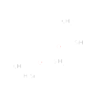 [CH2]CCCCC.[SiH3]O[SiH2]O[SiH3]